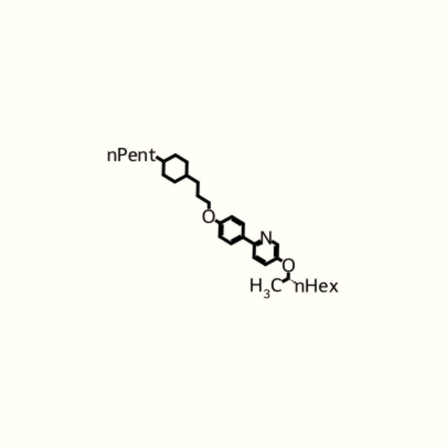 CCCCCC[C@H](C)Oc1ccc(-c2ccc(OCCCC3CCC(CCCCC)CC3)cc2)nc1